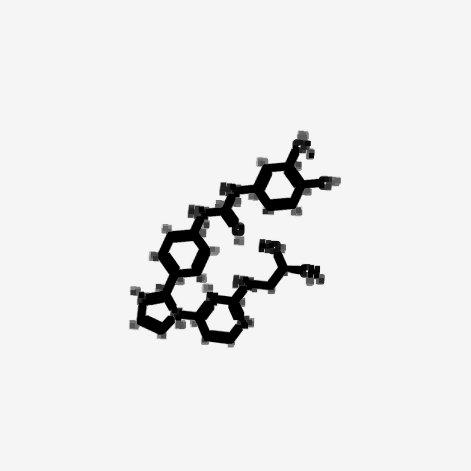 C[C@H](O)CNc1nccc(-n2ccnc2-c2ccc(NC(=O)Nc3ccc(Cl)c(C(F)(F)F)c3)cc2)n1